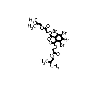 C=C(C)COC(=O)COC(=O)c1c(Br)c(Br)c(Br)c(Br)c1C(=O)OCC(=O)OCC(=C)C